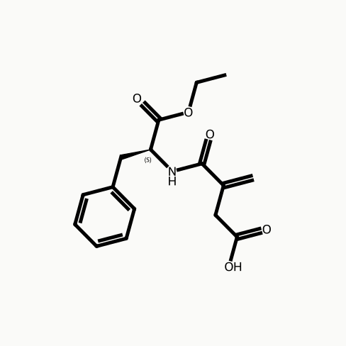 C=C(CC(=O)O)C(=O)N[C@@H](Cc1ccccc1)C(=O)OCC